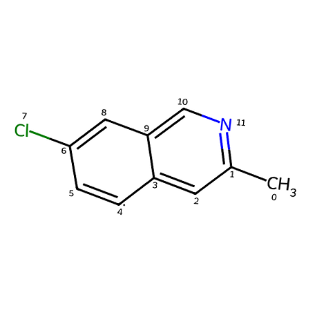 Cc1cc2[c]cc(Cl)cc2cn1